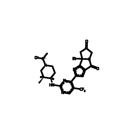 CCC12CC(=O)CN1C(=O)c1cc(-c3nc(N[C@H]4CCN([S+](C)[O-])C[C@H]4C)ncc3C(F)(F)F)sc12